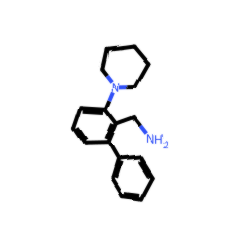 NCc1c(-c2ccccc2)cccc1N1CCCCC1